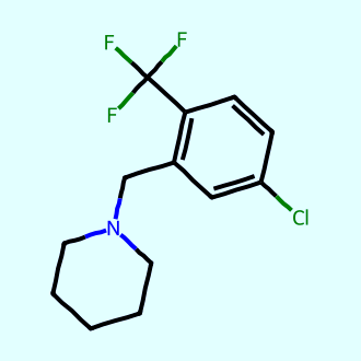 FC(F)(F)c1ccc(Cl)cc1CN1CCCCC1